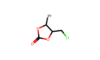 CC(C)C1OC(=O)OC1CCl